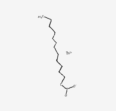 CCCCCCCCCCCCOP([O-])[O-].[Zn+2]